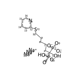 O=P([O-])([O-])C(O)(CCCCCSc1ccccn1)P(=O)([O-])O.[Na+].[Na+].[Na+]